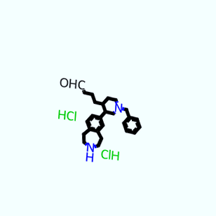 Cl.Cl.O=CCCCC1CCN(Cc2ccccc2)CC1c1ccc2c(c1)CCNCC2